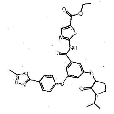 CCOC(=O)c1cnc(NC(=O)c2cc(Oc3ccc(-c4nnc(C)o4)cc3)cc(OC3CCN(C(C)C)C3=O)c2)s1